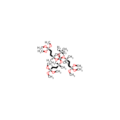 CO[Si](CC[Si](C)(C)O[Si](O[Si](C)(C)C)(O[Si](C)(C)CC[Si](OC)(OC)OC)O[Si](C)(C)CC[Si](OC)(OC)OC)(OC)OC